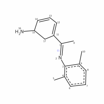 C/C(=N\c1c(C)cccc1C)C1=CC=CC(N)C1